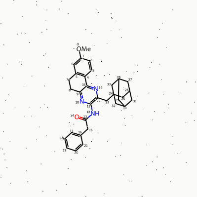 COc1ccc2c(c1)CCc1nc(NC(=O)Cc3ccccc3)c(CC34CC5CC(CC(C5)C3)C4)nc1-2